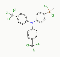 CS(Cl)(Cl)c1ccc(N(c2ccc([Si](Cl)(Cl)Cl)cc2)c2ccc([Si](Cl)(Cl)Cl)cc2)cc1